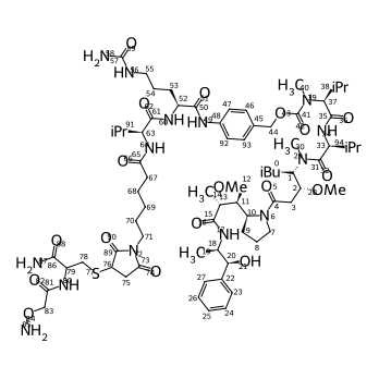 CC[C@H](C)[C@@H]([C@@H](CC(=O)N1CCC[C@H]1[C@H](OC)[C@@H](C)C(=O)N[C@H](C)[C@@H](O)c1ccccc1)OC)N(C)C(=O)[C@@H](NC(=O)[C@H](C(C)C)N(C)C(=O)OCc1ccc(NC(=O)[C@H](CCCNC(N)=O)NC(=O)[C@@H](NC(=O)CCCCCN2C(=O)CC(SCC(NC(=O)CON)C(N)=O)C2=O)C(C)C)cc1)C(C)C